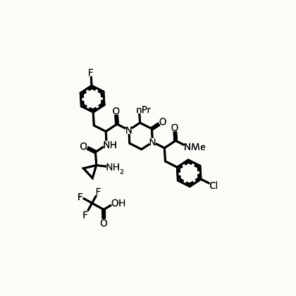 CCCC1C(=O)N(C(Cc2ccc(Cl)cc2)C(=O)NC)CCN1C(=O)C(Cc1ccc(F)cc1)NC(=O)C1(N)CC1.O=C(O)C(F)(F)F